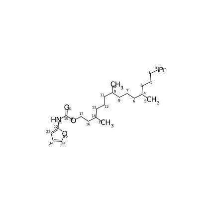 CC(C)CCCC(C)CCCC(C)CCCC(C)CCOC(=O)Nc1ccco1